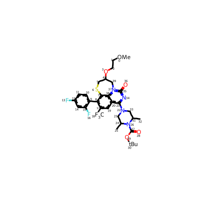 COCCOC1CSc2c(-c3ccc(F)cc3F)c(C(F)(F)F)cc3c(N4CC(C)N(C(=O)OC(C)(C)C)C(C)C4)nc(=O)n(c23)C1